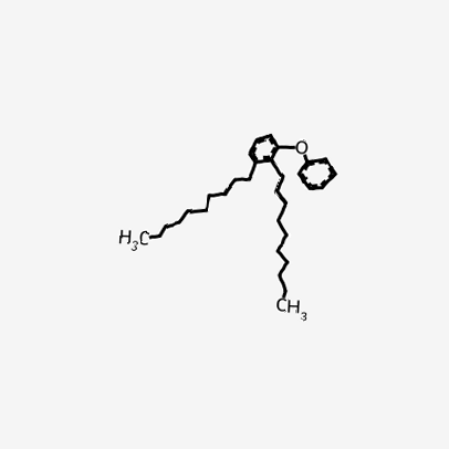 CCCCCCCCCCc1cccc(Oc2ccccc2)c1CCCCCCCCCC